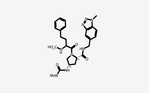 CNC(=O)N[C@H]1C[C@@H](C(=O)NCc2ccc3c(c2)nnn3C)N(C(=O)C(CCc2ccccc2)NC(=O)O)C1